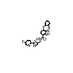 Cc1c(C(=O)NCc2cnc(-c3ccc(F)cn3)s2)ccc2c1NCc1ccccc1S2